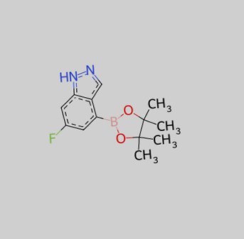 CC1(C)OB(c2cc(F)cc3[nH]ncc23)OC1(C)C